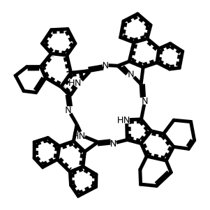 C1=Cc2c3c(c4c5[nH]c(c4c2CC1)/N=C1N=C(/N=c2\[nH]/c(c4c6c(c7ccccc7c24)=CCCC=6)=N\C2N/C(=N\5)c4c2c2ccccc2c2ccccc42)c2c\1c1ccccc1c1ccccc21)CCC=C3